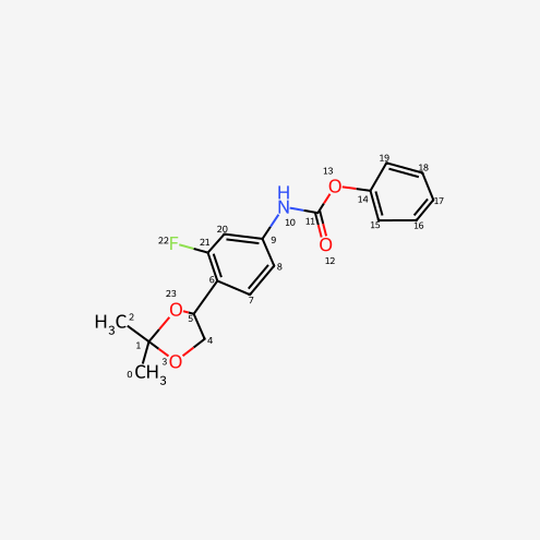 CC1(C)OCC(c2ccc(NC(=O)Oc3ccccc3)cc2F)O1